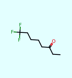 CCC(=O)CCCCC(F)(F)F